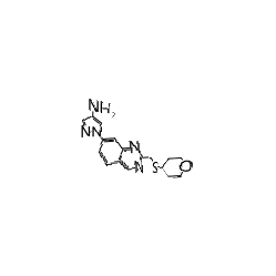 Nc1cnn(-c2ccc3cnc(CSC4CCOCC4)nc3c2)c1